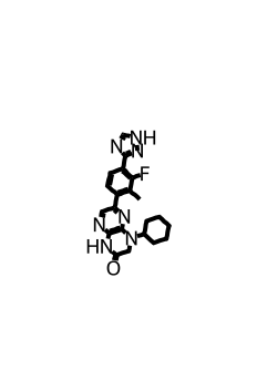 Cc1c(-c2cnc3c(n2)N(C2CCCCC2)CC(=O)N3)ccc(-c2nc[nH]n2)c1F